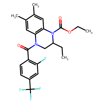 CCOC(=O)N1c2cc(C)c(C)cc2N(C(=O)c2ccc(C(F)(F)F)cc2F)CC1CC